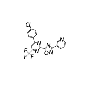 FC(F)(F)c1cc(-c2ccc(Cl)cc2)nc(-c2nc(-c3cccnc3)no2)n1